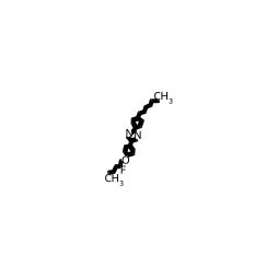 CCCCCCCc1ccc(-c2ncc(-c3ccc(OCC(F)CCCC)cc3)cn2)cc1